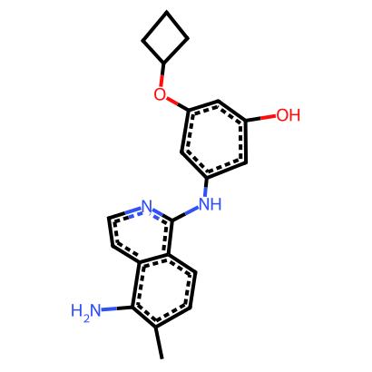 Cc1ccc2c(Nc3cc(O)cc(OC4CCC4)c3)nccc2c1N